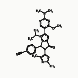 COc1nc(N(C)C)ncc1-c1cc2c(n1C(C)C)C(c1ccc(C#N)cc1)N(c1cc(C)nn1C)C2=O